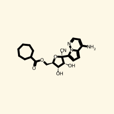 N#C[C@@]1(c2ccc3c(N)ccnn23)O[C@H](COC(=O)C2CCCCCC2)[C@@H](O)[C@H]1O